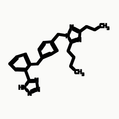 CCCCc1nc(CCC)nn1Cc1ccc(Cc2ccccc2-c2nnn[nH]2)cc1